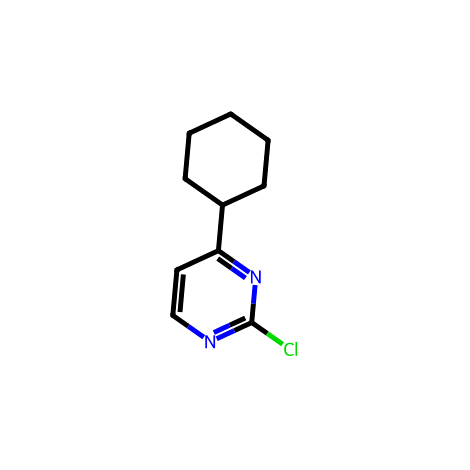 Clc1nccc(C2CCCCC2)n1